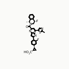 Cc1ncc(-c2cc(C(=O)N3C[C@@H](F)c4ccccc4[C@H]3C)nc3cc(-c4ccc([C@H]5C[C@@H]5C(=O)O)cc4F)nn23)s1